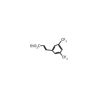 CCOC(=O)/C=C/c1cc(C(F)(F)F)cc(C(F)(F)F)c1